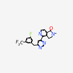 CN1CCc2c(ccnc2-c2cc(Cc3cc(F)cc(C(F)(F)F)c3)ncn2)C1=O